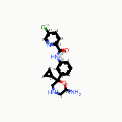 NC1CNCC(c2cccc(NC(=O)c3ccc(Cl)cn3)c2)(C2CC2)O1